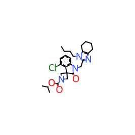 CCCCn1c(CN2C(=O)C3(CN(C(=O)OC(C)C)C3)c3c(Cl)cccc32)nc2c1CCCC2